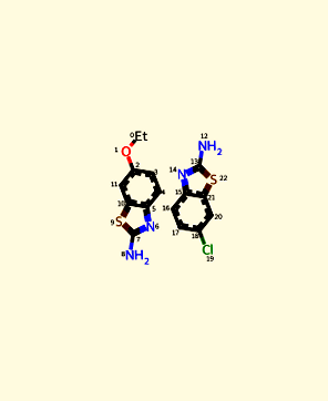 CCOc1ccc2nc(N)sc2c1.Nc1nc2ccc(Cl)cc2s1